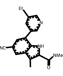 CCc1cncc(-c2cc(C#N)cc3c(C)c(C(=O)NC)[nH]c23)c1